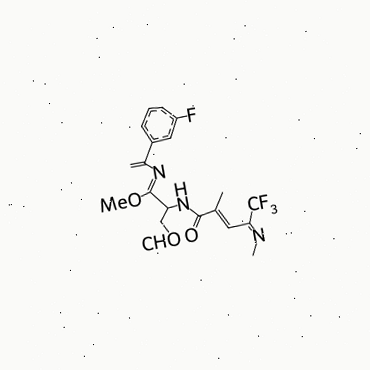 C=C(/N=C(\OC)C(CC=O)NC(=O)/C(C)=C/C(=N\C)C(F)(F)F)c1cccc(F)c1